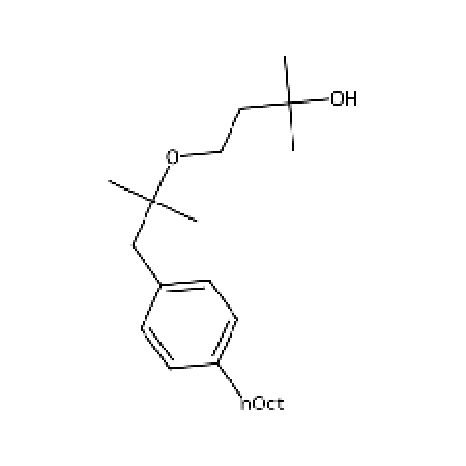 CCCCCCCCc1ccc(CC(C)(C)OCCC(C)(C)O)cc1